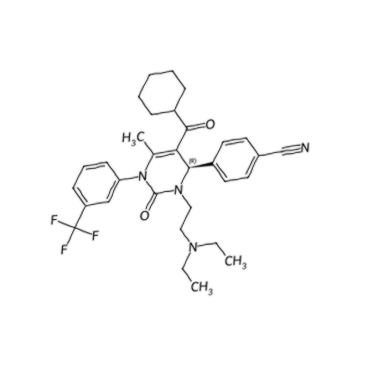 CCN(CC)CCN1C(=O)N(c2cccc(C(F)(F)F)c2)C(C)=C(C(=O)C2CCCCC2)[C@H]1c1ccc(C#N)cc1